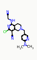 CN(C)c1ccc(CN2CCc3c(NCC#N)nc(Cl)c(C#N)c3C2)cn1